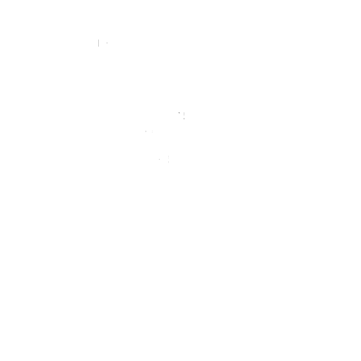 O=C(O)CCC(=O)c1cn(CC(=O)O)c2c(C=Cc3ccc(OCCCC4Cc5ccccc5C4)cc3)cccc12